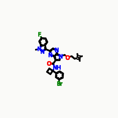 Cn1nc(-c2cnc3c(n2)c(C(=O)NC2(c4cccc(Br)c4)CCC2)cn3COCC[Si](C)(C)C)c2ccc(F)cc21